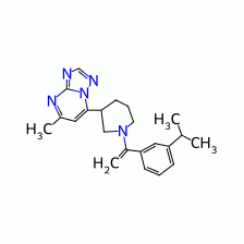 C=C(c1cccc(C(C)C)c1)N1CCCC(c2cc(C)nc3ncnn23)C1